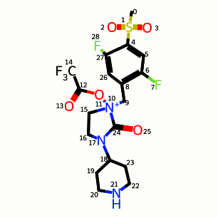 CS(=O)(=O)c1cc(F)c(C[N+]2(OC(=O)C(F)(F)F)CCN(C3CCNCC3)C2=O)cc1F